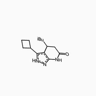 CCC(C)C1CC(=O)Nc2n[nH]c(C3CCC3)c21